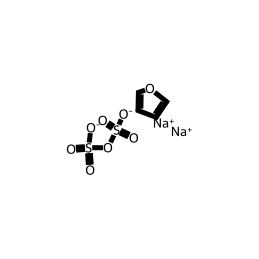 O=S(=O)([O-])OS(=O)(=O)[O-].[Na+].[Na+].c1ccoc1